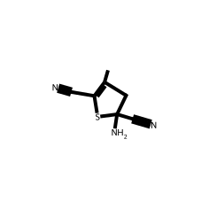 CC1=C(C#N)SC(N)(C#N)C1